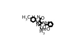 COc1ccccc1C(=O)Nc1c(C)nn([C@H]2CC[C@@H](C)CC2)c1C(N)=O